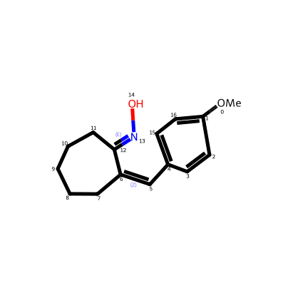 COc1ccc(/C=C2/CCCCC/C2=N\O)cc1